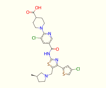 C[C@@H]1CCN(Cc2sc(NC(=O)c3cnc(N4CCC(C(=O)O)CC4)c(Cl)c3)nc2-c2cc(Cl)cs2)C1